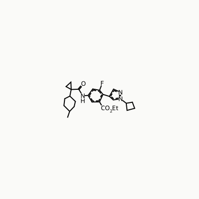 CCOC(=O)c1cc(NC(=O)C2(C3CCC(C)CC3)CC2)cc(F)c1-c1cnn(C2CCC2)c1